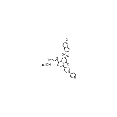 CN(C)CCNC(=O)C1CN(S(=O)(=O)c2ccc3cc(Cl)ccc3c2)CC(=O)N1N(C)C1CCN(c2ccncc2)CC1.Cl.Cl